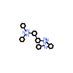 c1ccc(-c2nc(-c3ccccc3)nc(-c3cccc(-c4cccc(-c5nnc6c7ccccc7nc(-c7ccccc7)n56)c4)c3)n2)cc1